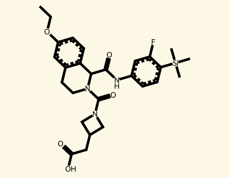 CCOc1ccc2c(c1)CCN(C(=O)N1CC(CC(=O)O)C1)C2C(=O)Nc1ccc([Si](C)(C)C)c(F)c1